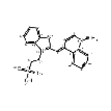 CN1C=C/C(=C\c2sc3ccccc3[n+]2CCS(=O)(=O)O)c2ccccc21